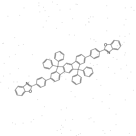 c1ccc(C2(c3ccccc3)c3cc(-c4ccc(-c5nc6ccccc6o5)cc4)ccc3-c3cc4c(cc32)-c2ccc(-c3ccc(-c5nc6ccccc6o5)cc3)cc2C4(c2ccccc2)c2ccccc2)cc1